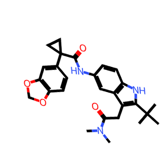 CN(C)C(=O)Cc1c(C(C)(C)C)[nH]c2ccc(NC(=O)C3(c4ccc5c(c4)OCO5)CC3)cc12